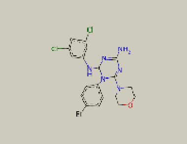 CCc1ccc(N2C(N3CCOCC3)=NC(N)=NC2Nc2cc(Cl)cc(Cl)c2)cc1